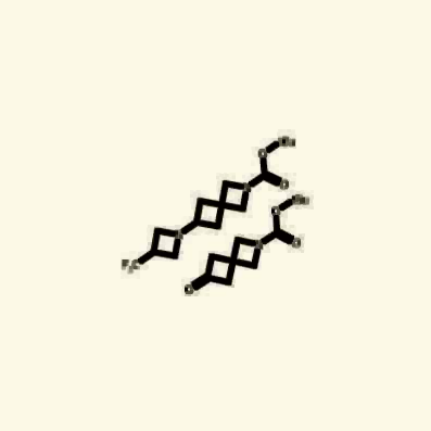 CC(C)(C)OC(=O)N1CC2(CC(=O)C2)C1.CC(C)(C)OC(=O)N1CC2(CC(N3CC(C(F)(F)F)C3)C2)C1